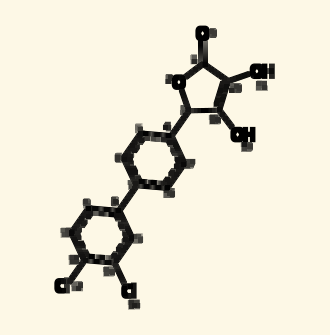 O=C1OC(c2ccc(-c3ccc(Cl)c(Cl)c3)cc2)C(O)=C1O